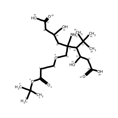 CC(C)(C)OC(=O)CCOCC(N)(CC(O)CC(=O)O)C(C(O)CC(=O)O)C(C)(C)C